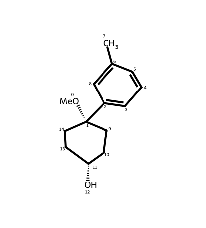 CO[C@]1(c2cccc(C)c2)CC[C@H](O)CC1